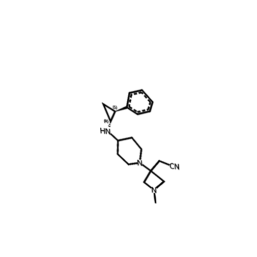 CN1CC(CC#N)(N2CCC(N[C@@H]3C[C@H]3c3ccccc3)CC2)C1